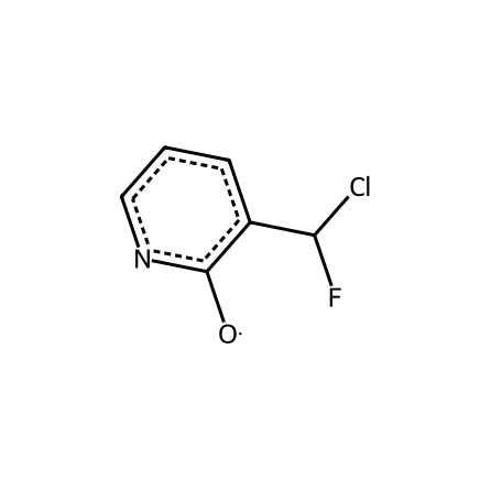 [O]c1ncccc1C(F)Cl